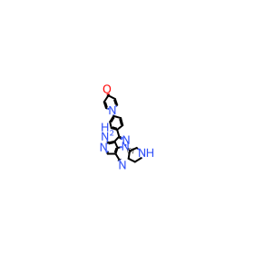 N#Cc1cnc(N)c2c(-c3ccc(-n4ccc(=O)cc4)cc3)nn([C@@H]3CCCNC3)c12